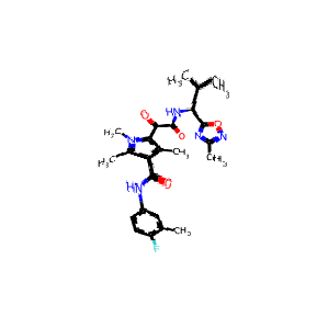 Cc1noc([C@@H](NC(=O)C(=O)c2c(C)c(C(=O)Nc3ccc(F)c(C)c3)c(C)n2C)C(C)C)n1